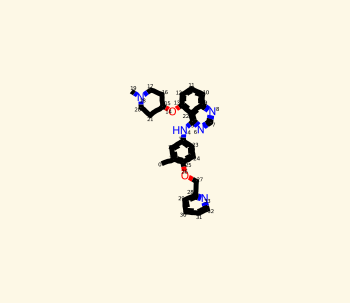 Cc1cc(Nc2ncnc3cccc(OC4CCN(C)CC4)c23)ccc1OCc1ccccn1